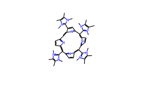 Cc1c(C)[n+](C)c(C2=CC3=NC2=CC2=NC(=C(c4n(C)c(C)c(C)[n+]4C)C4=NC(=C(c5n(C)c(C)c(C)[n+]5C)C5=NC(=C3c3n(C)c(C)c(C)[n+]3C)C=C5)C=C4)C=C2)n1C